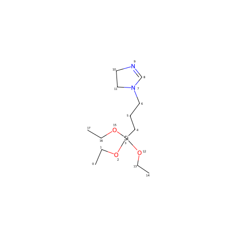 CCO[Si](CCCN1C=NCC1)(OCC)OCC